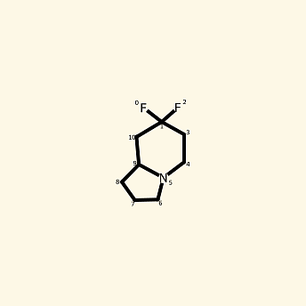 FC1(F)CCN2CCCC2C1